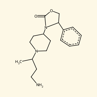 CC(CCN)N1CCC(N2C(=O)OCC2c2ccccc2)CC1